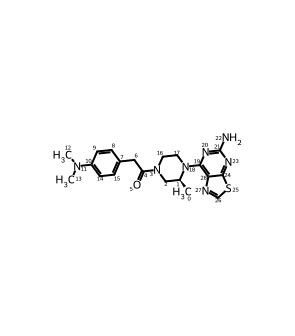 C[C@H]1CN(C(=O)Cc2ccc(N(C)C)cc2)CCN1c1nc(N)nc2scnc12